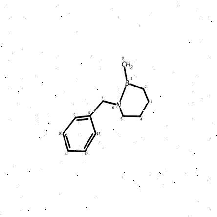 CB1CCCCN1Cc1ccccc1